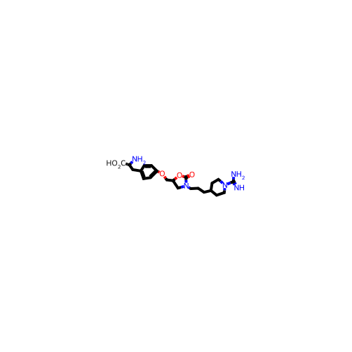 N=C(N)N1CCC(CCCN2CC(COc3ccc(CC(N)C(=O)O)cc3)OC2=O)CC1